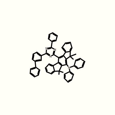 CC1(C)c2ccccc2-c2c(-c3nc(-c4ccccc4)nc(-c4cccc(-c5ccccc5)c4)n3)c3c(c(N(c4ccccc4)c4ccccc4)c21)C(C)(C)c1ccccc1-3